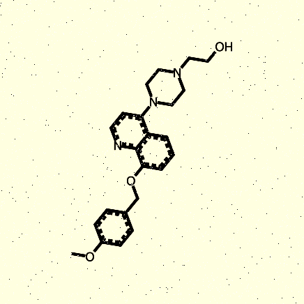 COc1ccc(COc2cccc3c(N4CCN(CCO)CC4)ccnc23)cc1